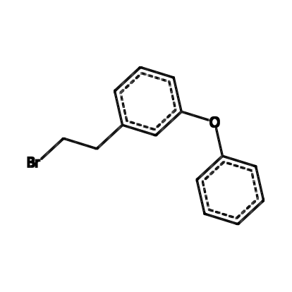 BrCCc1cccc(Oc2ccccc2)c1